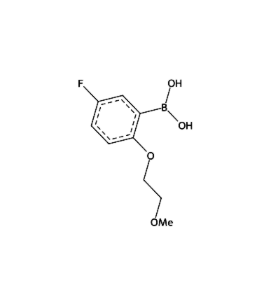 COCCOc1ccc(F)cc1B(O)O